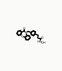 O=C(CCc1ccc(CN2C(=O)c3ccccc3Oc3ccccc32)cc1)NO